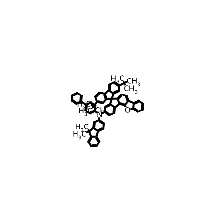 CC(C)(C)c1ccc2c(c1)C1(c3cc(C(C)(C)C)ccc3-2)c2cc(N(c3ccc(-c4ccccc4)cc3)c3ccc4c(c3)C(C)(C)c3ccccc3-4)ccc2-c2c1ccc1c2oc2ccccc21